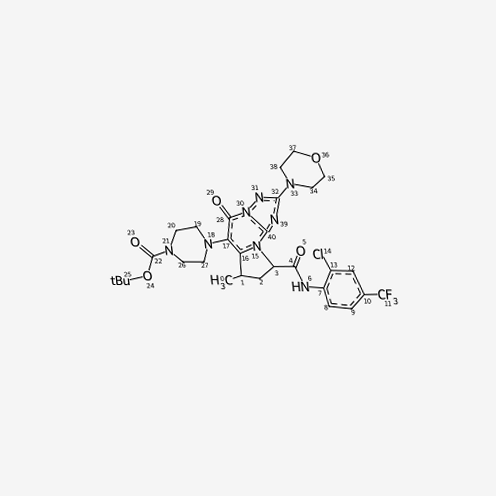 CC1CC(C(=O)Nc2ccc(C(F)(F)F)cc2Cl)n2c1c(N1CCN(C(=O)OC(C)(C)C)CC1)c(=O)n1nc(N3CCOCC3)nc21